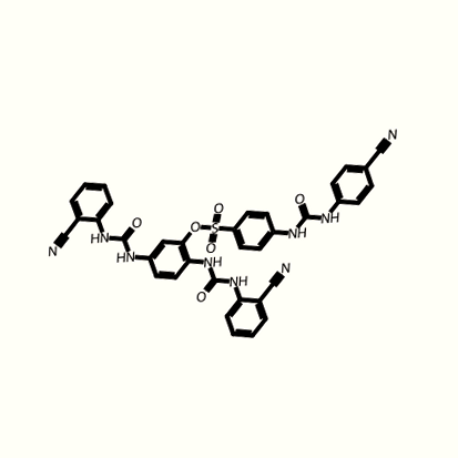 N#Cc1ccc(NC(=O)Nc2ccc(S(=O)(=O)Oc3cc(NC(=O)Nc4ccccc4C#N)ccc3NC(=O)Nc3ccccc3C#N)cc2)cc1